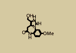 COc1ccc2c(c1)N1NNC(CO)=C1CC(=O)N2